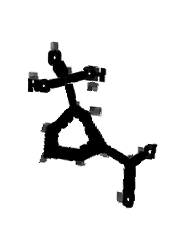 O=C(Cl)c1cccc(P(=O)(O)O)c1